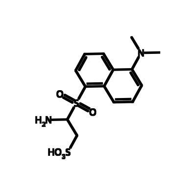 CN(C)c1cccc2c(S(=O)(=O)C(N)CS(=O)(=O)O)cccc12